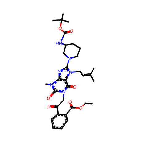 CCOC(=O)c1ccccc1C(=O)Cn1c(=O)c2c(nc(N3CCCC(NC(=O)OC(C)(C)C)C3)n2CC=C(C)C)n(C)c1=O